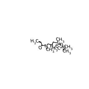 C=CC(=O)N(C)CCC[Si](C)(C)O[Si](C)(C)C